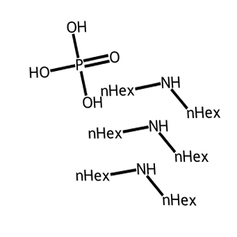 CCCCCCNCCCCCC.CCCCCCNCCCCCC.CCCCCCNCCCCCC.O=P(O)(O)O